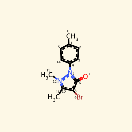 Cc1ccc(-n2c(=O)c(Br)c(C)n2C)cc1